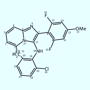 CCc1cccc2nc(-c3c(F)cc(OC)cc3F)c(Nc3c(C)cccc3Cl)n12